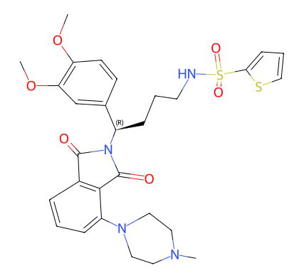 COc1ccc([C@@H](CCCNS(=O)(=O)c2cccs2)N2C(=O)c3cccc(N4CCN(C)CC4)c3C2=O)cc1OC